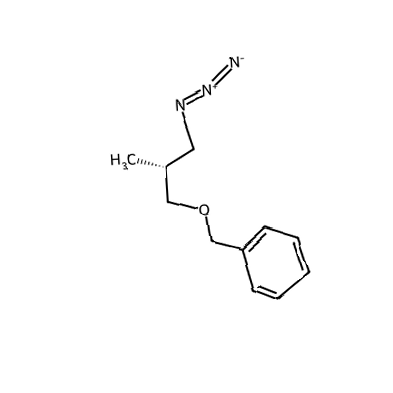 C[C@H](CN=[N+]=[N-])COCc1ccccc1